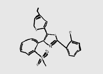 Cc1csc(-c2sc(-c3ccccc3Cl)nc2-c2ccccc2S(C)(=O)=O)c1